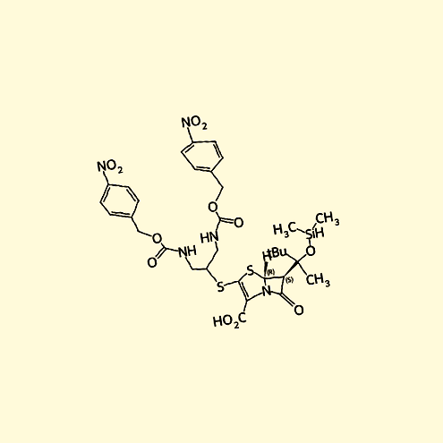 C[SiH](C)OC(C)([C@H]1C(=O)N2C(C(=O)O)=C(SC(CNC(=O)OCc3ccc([N+](=O)[O-])cc3)CNC(=O)OCc3ccc([N+](=O)[O-])cc3)S[C@H]12)C(C)(C)C